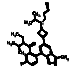 CCN(C(=O)c1cc(F)ccc1-c1cc(C2CN([C@@H](CCC=O)C(C)C)C2)cn2c(C)nnc12)C(C)C